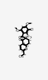 COc1cc(OC)c2c(c1Cl)O[C@@]1(C(=O)c3ccc(CCl)nc3C[C@H]1C)C2=O